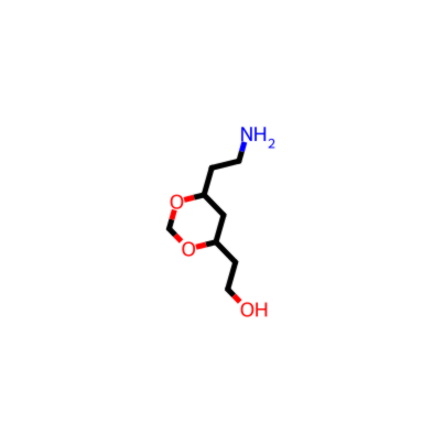 NCCC1CC(CCO)OCO1